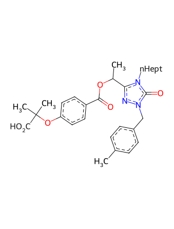 CCCCCCCn1c(C(C)OC(=O)c2ccc(OC(C)(C)C(=O)O)cc2)nn(Cc2ccc(C)cc2)c1=O